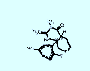 C=C1N[C@@]2(c3cc(O)ccc3F)COCC[C@H]2C(=O)N1C